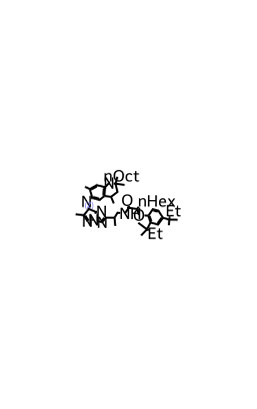 CCCCCCCCN1c2cc(C)c(/N=C3/C(C)=Nn4nc(C(C)CNC(=O)C(CCCCCC)Oc5ccc(C(C)(C)CC)cc5C(C)(C)CC)nc43)cc2C(C)CC1(C)C